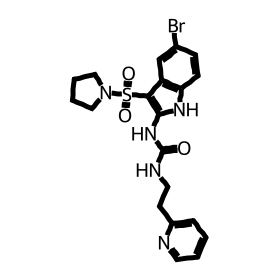 O=C(NCCc1ccccn1)Nc1[nH]c2ccc(Br)cc2c1S(=O)(=O)N1CCCC1